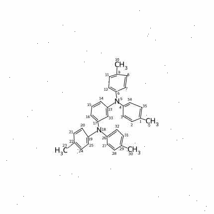 Cc1ccc(N(c2ccc(C)cc2)c2cccc(N(c3ccc(C)cc3)c3ccc(C)cc3)c2)cc1